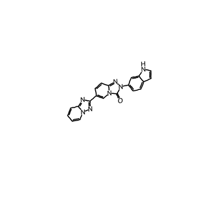 O=c1n(-c2ccc3cc[nH]c3c2)nc2ccc(-c3nc4ccccn4n3)cn12